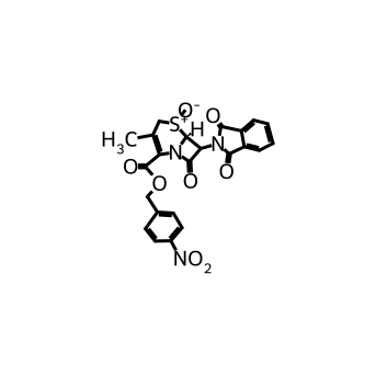 CC1=C(C(=O)OCc2ccc([N+](=O)[O-])cc2)N2C(=O)C(N3C(=O)c4ccccc4C3=O)[C@@H]2[S+]([O-])C1